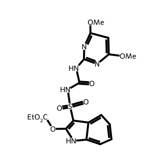 CCOC(=O)Oc1[nH]c2ccccc2c1S(=O)(=O)NC(=O)Nc1nc(OC)cc(OC)n1